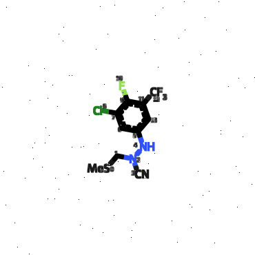 CSCN(C#N)Nc1cc(Cl)c(F)c(C(F)(F)F)c1